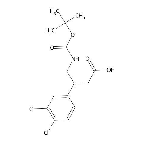 CC(C)(C)OC(=O)NCC(CC(=O)O)c1ccc(Cl)c(Cl)c1